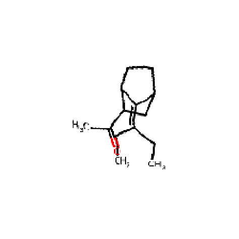 CCC(CC)=C1C2CCC1C(C(C)=O)C2